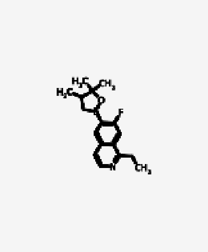 CCc1nccc2cc(B3CC(C)C(C)(C)O3)c(F)cc12